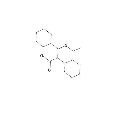 CCOC(C1CCCCC1)C(C(=O)Cl)C1CCCCC1